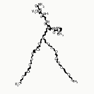 COCCOCCOCCOCCOCCOCCOCCOCCN(CCCCCn1cc(NC(=O)c2nccn2C)cc1C(=O)NCCC(=O)Nc1cn(C)c(C(N)=O)n1)CCOCCOCCOCCOCCOCCOCCOCCOC